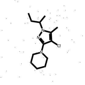 CCC(C)n1nc(N2CCCCC2)c(Cl)c1C